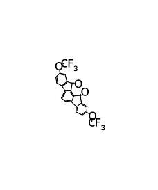 O=c1c2cc(OC(F)(F)F)ccc2c2ccc3c4ccc(OC(F)(F)F)cc4c(=O)c3c12